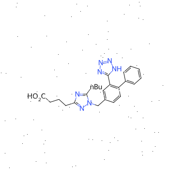 CCCCc1nc(CCCC(=O)O)nn1Cc1ccc(-c2ccccc2)c(-c2nnn[nH]2)c1